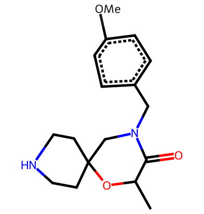 COc1ccc(CN2CC3(CCNCC3)OC(C)C2=O)cc1